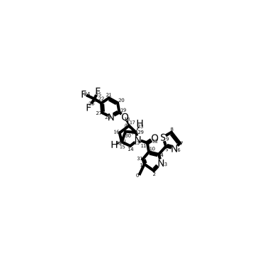 Cc1cnc(-c2nccs2)c(C(=O)N2C[C@H]3C[C@@H](Oc4ccc(C(F)(F)F)cn4)[C@@H]2C3)c1